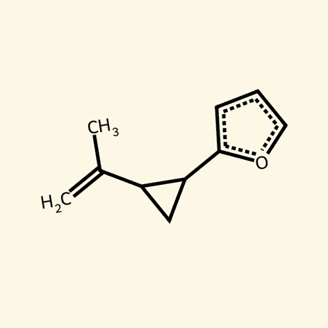 C=C(C)C1CC1c1ccco1